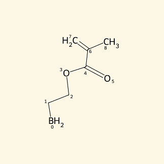 BCCOC(=O)C(=C)C